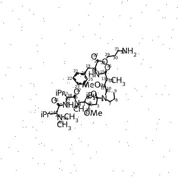 CC[C@H](C)C([C@@H](CC(=O)N1CCC[C@H]1[C@H](OC)[C@@H](C)C(=O)N[C@@H](Cc1ccccc1)C(=O)OCCCN)OC)N(C)C(=O)[C@@H](NC(=O)C(C(C)C)N(C)C)C(C)C